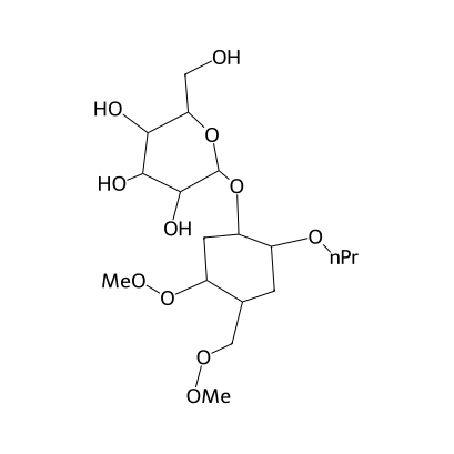 CCCOC1CC(COOC)C(OOC)CC1OC1OC(CO)C(O)C(O)C1O